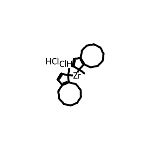 C[C]1([Zr][C]2(C)C=CC3=C2CCCCCCCC3)C=CC2=C1CCCCCCCC2.Cl.Cl